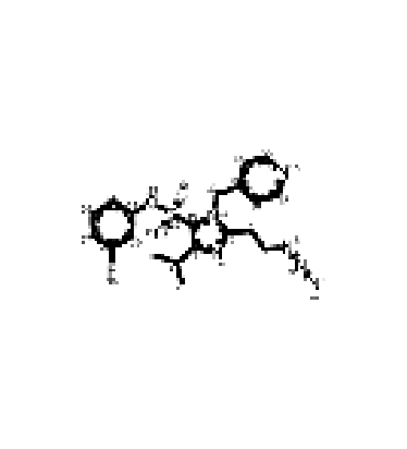 CC(C)c1nc(CCN=[N+]=[N-])n(Cc2ccncc2)c1S(=O)(=O)Oc1cccc(F)c1